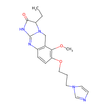 CCC1C(=O)NC2=Nc3ccc(OCCCn4ccnc4)c(OC)c3CN21